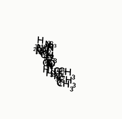 CC(C)CN(CCCCNS(=O)(=O)c1ccc(CN(Cc2ncc[nH]2)C(C)c2ncc[nH]2)cc1)CC(C)C